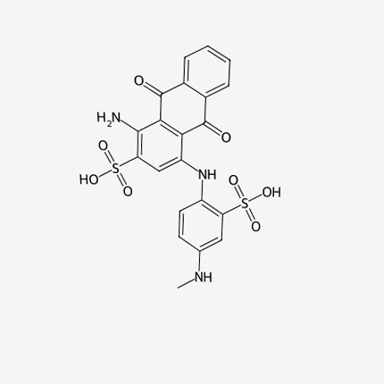 CNc1ccc(Nc2cc(S(=O)(=O)O)c(N)c3c2C(=O)c2ccccc2C3=O)c(S(=O)(=O)O)c1